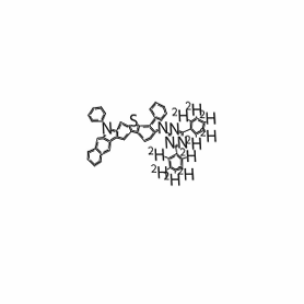 [2H]c1c([2H])c([2H])c(-c2nc(-c3c([2H])c([2H])c([2H])c([2H])c3[2H])nc(-n3c4ccccc4c4c5sc6cc7c(cc6c5ccc43)c3cc4ccccc4cc3n7-c3ccccc3)n2)c([2H])c1[2H]